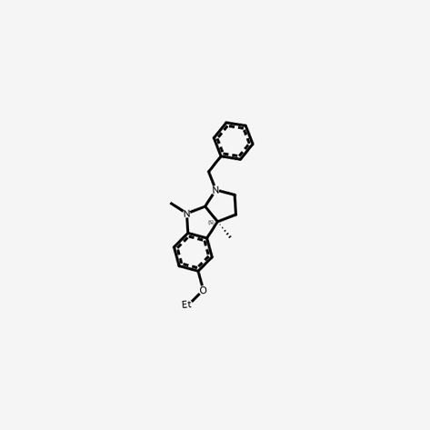 CCOc1ccc2c(c1)[C@]1(C)CCN(Cc3ccccc3)C1N2C